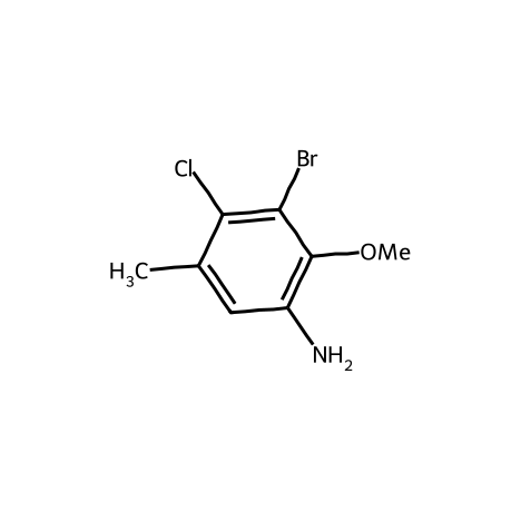 COc1c(N)cc(C)c(Cl)c1Br